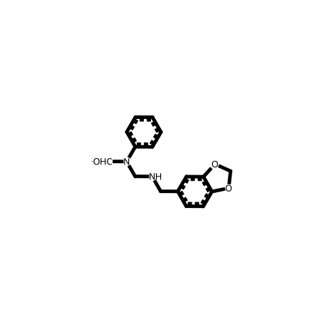 O=[C]N(CNCc1ccc2c(c1)OCO2)c1ccccc1